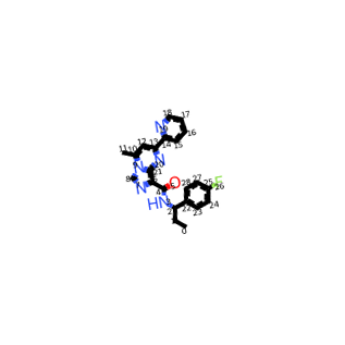 CCC(NC(=O)c1ncn2c(C)cc(-c3ccccn3)nc12)c1ccc(F)cc1